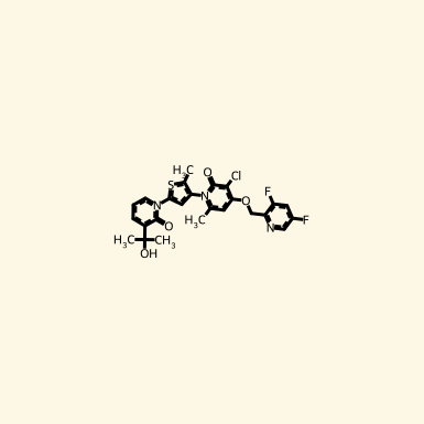 Cc1sc(-n2cccc(C(C)(C)O)c2=O)cc1-n1c(C)cc(OCc2ncc(F)cc2F)c(Cl)c1=O